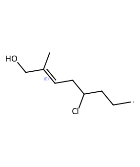 [CH2]CCC(Cl)C/C=C(\C)CO